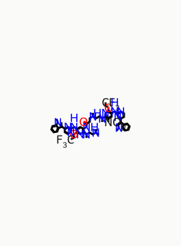 CN(C)CCN(C)c1nc(OCC(F)(F)F)c(Nc2nccc(-c3cn(C)c4ccccc34)n2)cc1NC(=O)CCN(C)CCN(C)C1NC(OCC(F)(F)F)=C(Nc2nccc(-c3cn(C)c4ccccc34)n2)C=C1[N+](=O)[O-]